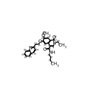 CCCCNC(=O)c1cn(CC)c(=O)c2cc(OC)c(OCCc3ccc4ccccc4n3)cc12